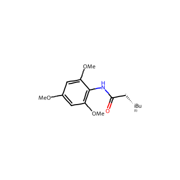 CC[C@@H](C)[CH]C(=O)Nc1c(OC)cc(OC)cc1OC